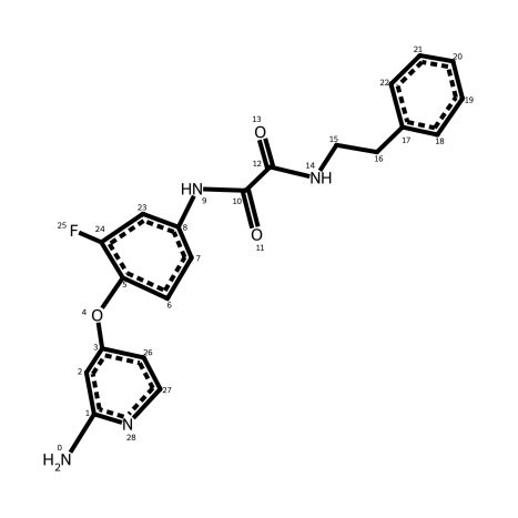 Nc1cc(Oc2ccc(NC(=O)C(=O)NCCc3ccccc3)cc2F)ccn1